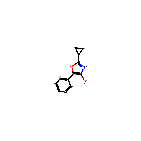 Brc1nc(C2CC2)oc1-c1ccccc1